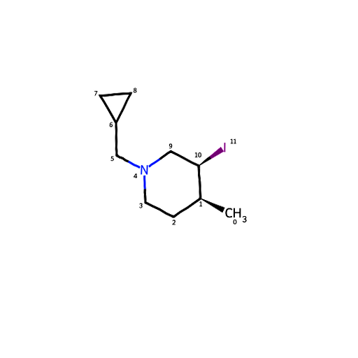 C[C@H]1CCN(CC2CC2)C[C@H]1I